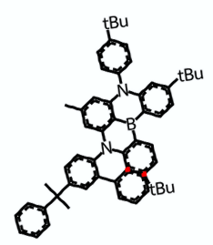 Cc1cc2c3c(c1)N(c1ccc(C(C)(C)c4ccccc4)cc1-c1ccccc1)c1cc(C(C)(C)C)ccc1B3c1ccc(C(C)(C)C)cc1N2c1ccc(C(C)(C)C)cc1